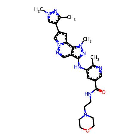 Cc1ncc(C(=O)NCCN2CCOCC2)cc1Nc1nn(C)c2c1cnn1cc(-c3cn(C)nc3C)cc21